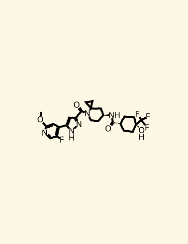 COc1cc(-c2cc(C(=O)N3CC[C@H](NC(=O)[C@H]4CC[C@](O)(C(F)(F)F)CC4)CC34CC4)n[nH]2)c(F)cn1